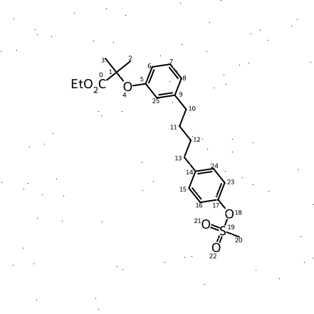 CCOC(=O)C(C)(C)Oc1cccc(CCCCc2ccc(OS(C)(=O)=O)cc2)c1